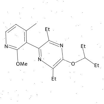 CCc1nc(-c2c(C)ccnc2OC)c(CC)nc1OC(CC)CC